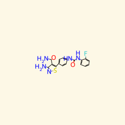 NC(=O)c1c(N)nsc1-c1ccc(NC(=O)Nc2ccccc2F)cc1